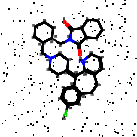 O=C1C2CCCCC2C(=O)N1C[C@H]1CCCC[C@@H]1CN1CCC(=C2C3=C(C=CCN3)CCc3cc(Cl)ccc32)CC1